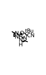 Cc1c[nH]c(P(OC(CC#N)C(C)(C)C)c2nc(C)c[nH]2)n1